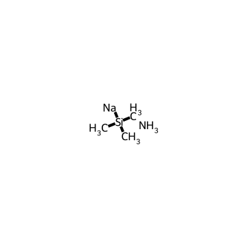 C[Si](C)(C)[Na].N